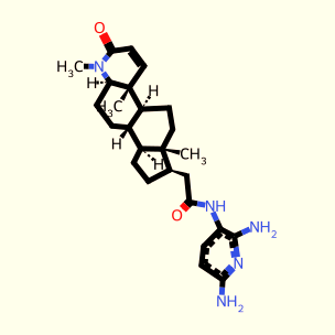 CN1C(=O)C=C[C@]2(C)[C@H]3CC[C@]4(C)[C@@H](CC(=O)Nc5ccc(N)nc5N)CC[C@H]4[C@@H]3CC[C@@H]12